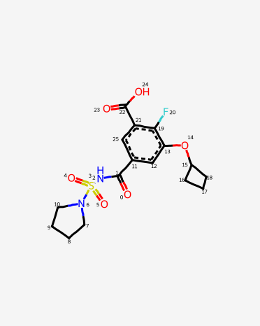 O=C(NS(=O)(=O)N1CCCC1)c1cc(OC2CCC2)c(F)c(C(=O)O)c1